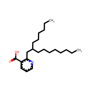 CCCCCCCCC(CCCCCC)Cc1ncccc1C(=O)O